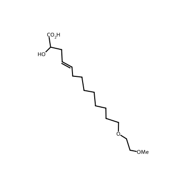 COCCOCCCCCCCCC=CCC(O)C(=O)O